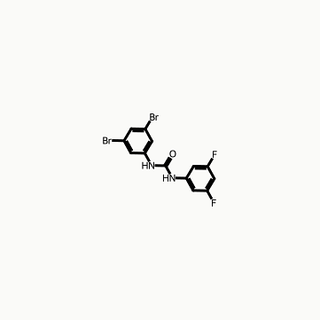 O=C(Nc1cc(F)cc(F)c1)Nc1cc(Br)cc(Br)c1